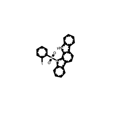 O=S(=O)(c1ccccc1I)n1c2ccccc2c2ccc3c4ccccc4[nH]c3c21